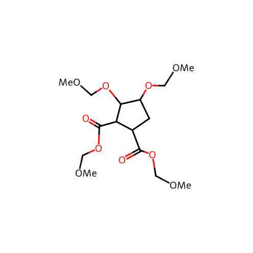 COCOC(=O)C1CC(OCOC)C(OCOC)C1C(=O)OCOC